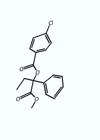 CCC(OC(=O)c1ccc(Cl)cc1)(C(=O)OC)c1ccccc1